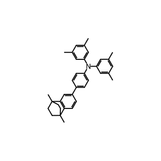 Cc1cc(C)cc(N(c2ccc(-c3ccc4c(c3)C3(C)CCC4(C)CC3)cc2)c2cc(C)cc(C)c2)c1